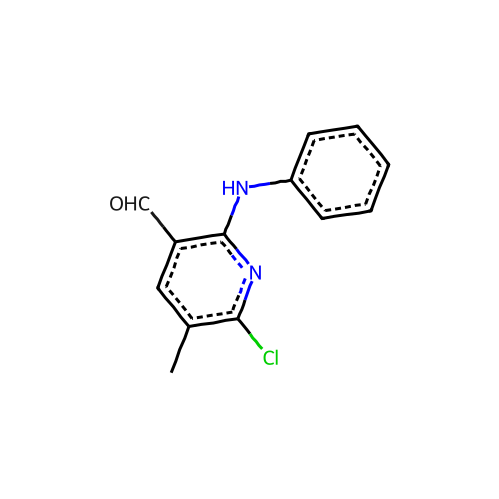 Cc1cc(C=O)c(Nc2ccccc2)nc1Cl